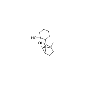 CC1(C)C2CCC1(C)C(C1CCCCC1(O)O)C2